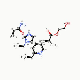 C=C(C)C(=O)OCCO.C=CC(N)=O.C=Cc1ccccn1.C=Cn1ccnc1